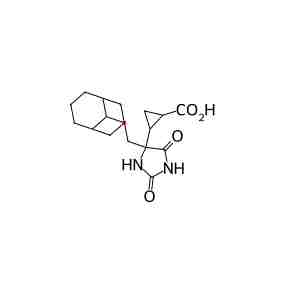 O=C1NC(=O)C(CCC2C3CCCC2CCC3)(C2CC2C(=O)O)N1